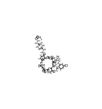 CCCc1cc(Cl)ccc1[C@@H]1COc2ccc3cc2N(C1)C[C@@H]1CC[C@@H]1COc1nc(ccc1OCCN1CCN(CCOC)CC1)CC(=O)NS3(=O)=O